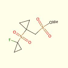 COS(=O)(=O)CC1(S(=O)(=O)C2(F)CC2)CC1